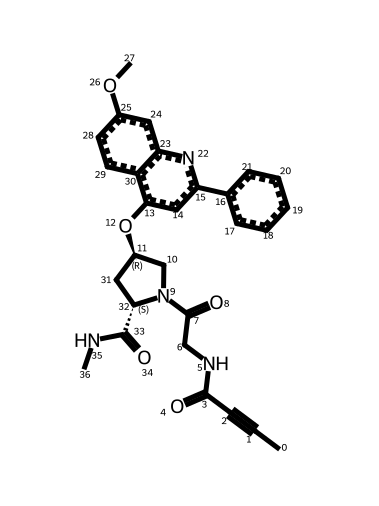 CC#CC(=O)NCC(=O)N1C[C@H](Oc2cc(-c3ccccc3)nc3cc(OC)ccc23)C[C@H]1C(=O)NC